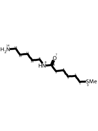 CSCCCCCC(=O)NCCCCCN